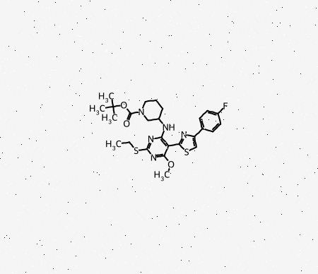 CCSc1nc(NC2CCCN(C(=O)OC(C)(C)C)C2)c(-c2nc(-c3ccc(F)cc3)cs2)c(OC)n1